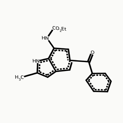 CCOC(=O)Nc1cc(C(=O)c2ccccc2)cc2cc(C)[nH]c12